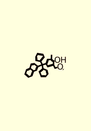 COCc1cc(C(c2ccccc2)(c2ccccc2)c2ccc3ccccc3c2)cc(C)c1O